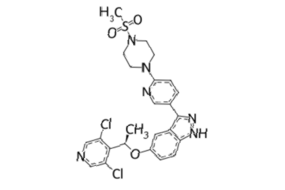 C[C@@H](Oc1ccc2[nH]nc(-c3ccc(N4CCN(S(C)(=O)=O)CC4)nc3)c2c1)c1c(Cl)cncc1Cl